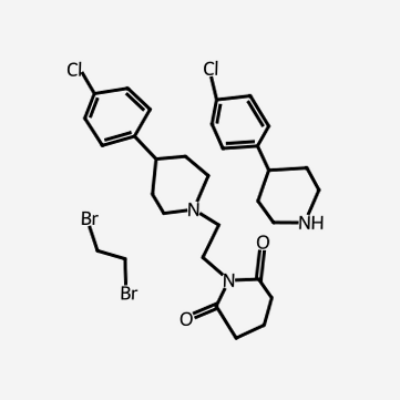 BrCCBr.Clc1ccc(C2CCNCC2)cc1.O=C1CCCC(=O)N1CCN1CCC(c2ccc(Cl)cc2)CC1